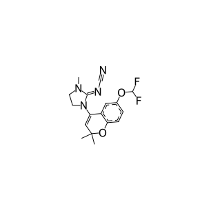 CN1CCN(C2=CC(C)(C)Oc3ccc(OC(F)F)cc32)C1=NC#N